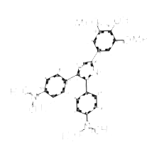 COc1cc(-c2nc(-c3ccc(N(C)C)cc3)c(-c3ccc(N(C)C)cc3)o2)cc(OC)c1O